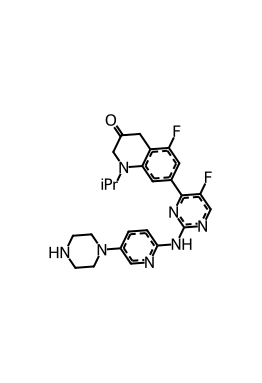 CC(C)N1CC(=O)Cc2c(F)cc(-c3nc(Nc4ccc(N5CCNCC5)cn4)ncc3F)cc21